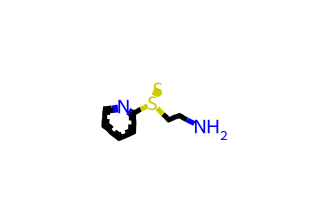 NCCS(=S)c1ccccn1